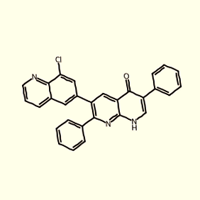 O=c1c(-c2ccccc2)c[nH]c2nc(-c3ccccc3)c(-c3cc(Cl)c4ncccc4c3)cc12